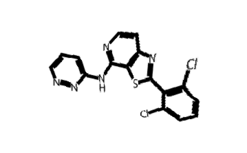 Clc1cccc(Cl)c1-c1nc2ccnc(Nc3cccnn3)c2s1